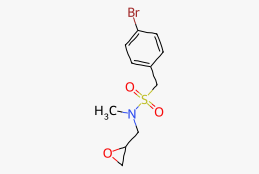 CN(CC1CO1)S(=O)(=O)Cc1ccc(Br)cc1